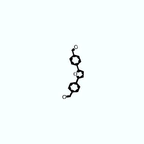 O=Cc1ccc(-c2ccc(-c3ccc(C=O)cc3)o2)cc1